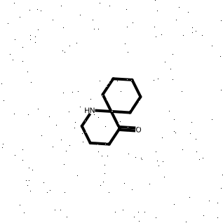 O=C1CCCNC12CCCCC2